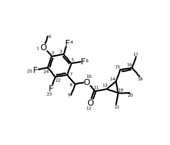 COc1c(F)c(F)c(C(C)OC(=O)C2C(C=C(C)C)C2(C)C)c(F)c1F